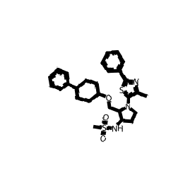 Cc1nc(-c2ccccc2)sc1N1CCC(NS(C)(=O)=O)C1COC1CCC(c2ccccc2)CC1